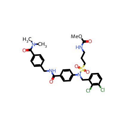 COC(=O)NCCCS(=O)(=O)N(Cc1cccc(Cl)c1Cl)c1ccc(C(=O)NCc2ccc(C(=O)N(C)C)cc2)cc1